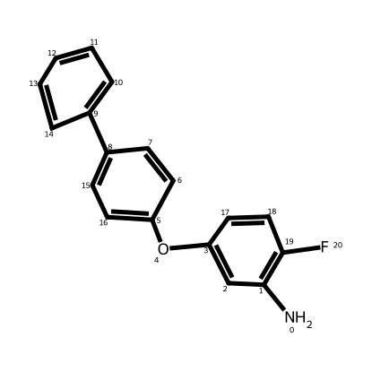 Nc1cc(Oc2ccc(-c3ccccc3)cc2)ccc1F